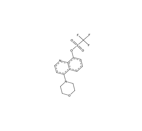 O=S(=O)(Oc1cccc2c(N3CCOCC3)ccnc12)C(F)(F)F